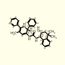 CC1=C(c2cccnc2)NC(O)(c2ccccc2)C(NC(=O)N[C@@H]2c3ccccc3C(C)(C)C[C@H]2O)=C1